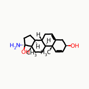 C[C@]12C=C[C@H](O)CC1=CC[C@@H]1[C@@H]2CC[C@@]2(C)[C@H]1CC[C@]2(N)O